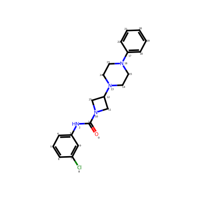 O=C(Nc1cccc(Cl)c1)N1CC(N2CCN(c3ccccc3)CC2)C1